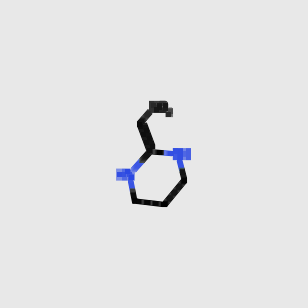 O=[N+]([O-])C=C1NCCCN1